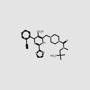 C#Cc1ccccc1C1N=C(c2nccs2)NC(CN2CCN(C(=O)N(C)CC(C)(C)C(=O)O)CC2)=C1C(=O)OCC